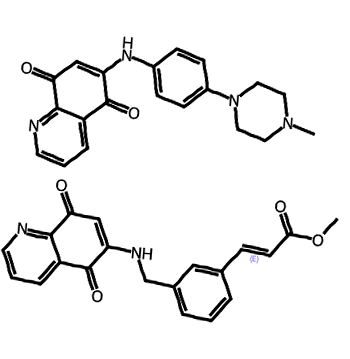 CN1CCN(c2ccc(NC3=CC(=O)c4ncccc4C3=O)cc2)CC1.COC(=O)/C=C/c1cccc(CNC2=CC(=O)c3ncccc3C2=O)c1